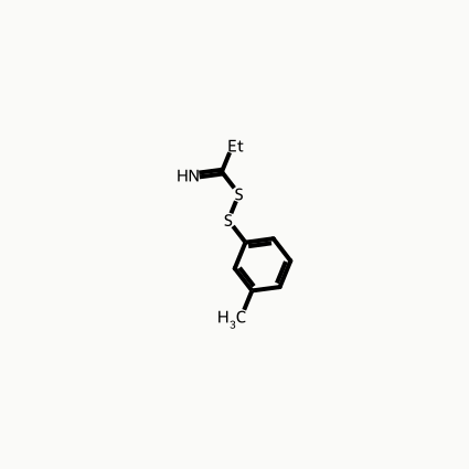 CCC(=N)SSc1cccc(C)c1